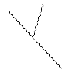 CCCCCCCCCCCCCCCCOC(=O)C(CCCCCCCCCCCCCC)CCCCCCCCCCCCCC